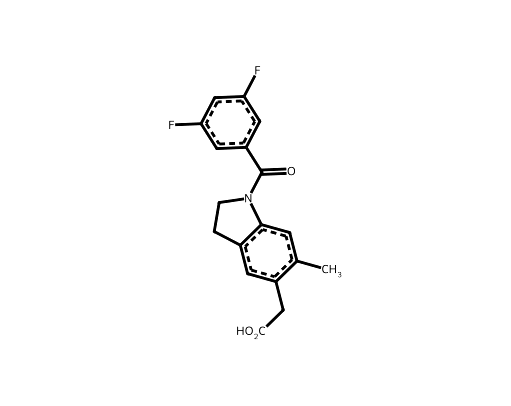 Cc1cc2c(cc1CC(=O)O)CCN2C(=O)c1cc(F)cc(F)c1